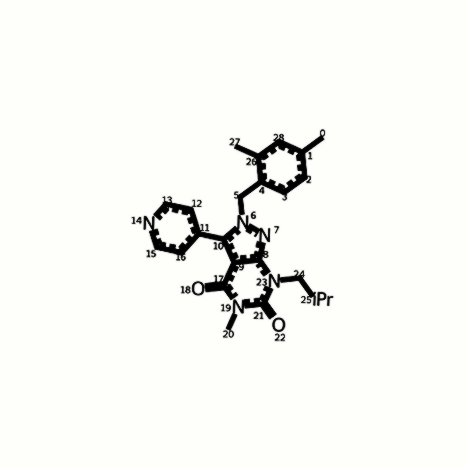 Cc1ccc(Cn2nc3c(c2-c2ccncc2)c(=O)n(C)c(=O)n3CC(C)C)c(C)c1